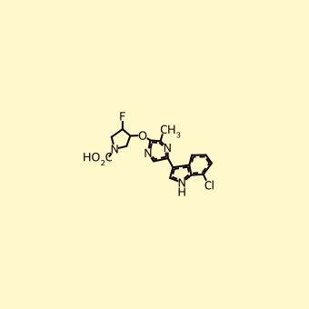 Cc1nc(-c2c[nH]c3c(Cl)cccc23)cnc1OC1CN(C(=O)O)CC1F